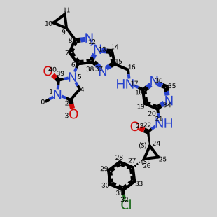 CN1C(=O)CN(c2cc(C3CC3)nn3cc(CNc4cc(NC(=O)[C@H]5C[C@@H]5c5cccc(Cl)c5)ncn4)nc23)C1=O